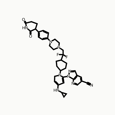 N#Cc1cnc2c(cnn2C2=CC(NC3CC3)=CCN2C2CCC(C(F)(F)CN3CCN(c4ccc(C5CCC(=O)NC5=O)cc4)CC3)CC2)c1